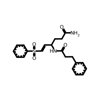 NC(=O)CCC(C=CS(=O)(=O)c1ccccc1)NC(=O)[CH]Cc1ccccc1